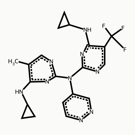 Cc1cnc(N(c2ccnnc2)c2ncc(C(F)(F)F)c(NC3CC3)n2)nc1NC1CC1